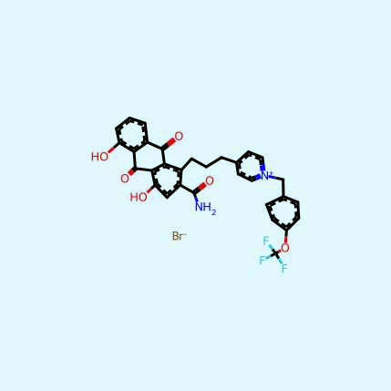 NC(=O)c1cc(O)c2c(c1CCCc1cc[n+](Cc3ccc(OC(F)(F)F)cc3)cc1)C(=O)c1cccc(O)c1C2=O.[Br-]